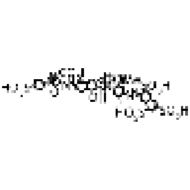 COc1cc(/N=N/c2cc3c(S(=O)(=O)O)cc(S(=O)(=O)O)cc3cc2S(=O)(=O)O)c(C)cc1NNc1c(S(=O)(=O)O)cc2cc(/N=N/C3C(=O)N(c4ccc(S(=O)(=O)O)cc4)N=C3C(=O)O)ccc2c1O